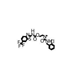 CN(CCOC(=O)Nc1nc2ccc(C(F)(F)F)cc2s1)C(=O)NCc1ccccc1Cl